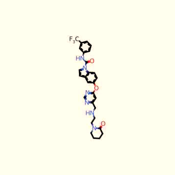 O=C1CCCCN1CCNCc1cc(Oc2ccc3c(ccn3C(=O)Nc3cccc(C(F)(F)F)c3)c2)ncn1